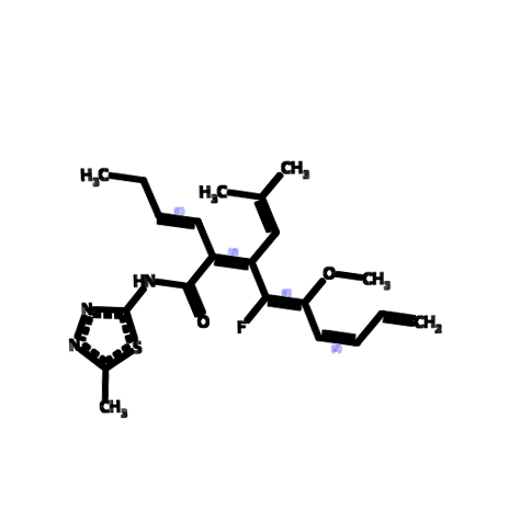 C=C\C=C/C(OC)=C(F)/C(C=C(C)C)=C(/C=C/CC)C(=O)Nc1nnc(C)s1